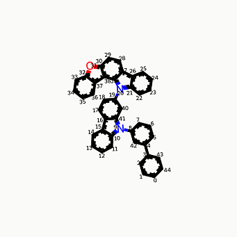 c1ccc(-c2cccc(-n3c4ccccc4c4ccc(-n5c6ccccc6c6ccc7oc8ccccc8c7c65)cc43)c2)cc1